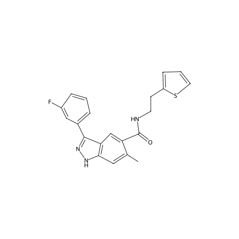 Cc1cc2[nH]nc(-c3cccc(F)c3)c2cc1C(=O)NCCc1cccs1